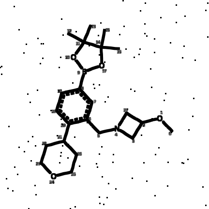 COC1CN(Cc2cc(B3OC(C)(C)C(C)(C)O3)ccc2C2CCOCC2)C1